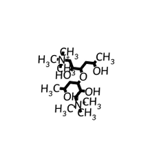 CC(O)CC(OC(CC(C)O)C(O)C[N+](C)(C)C)C(O)C[N+](C)(C)C